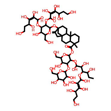 C=C1CC23CCC4C(C)(C(=O)OC5OC(CO)C(O)C(OC6OC(CO)C(O)C(O)C6O)C5OC(O)C(O)C(OC(O)/C(O)=C(\O)C(O)CCO)C(O)CC)CCCC4(C)C2CCC1(OC1OC(CO)C(O)C(OC(O)/C(O)=C(/O)C(O)CCO)C1OC(O)/C(O)=C(/O)C(O)CCO)C3